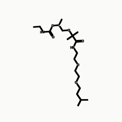 CCNC(=O)OP(C)COC(C)(C)C(=O)NCCOCCOCCC(C)C